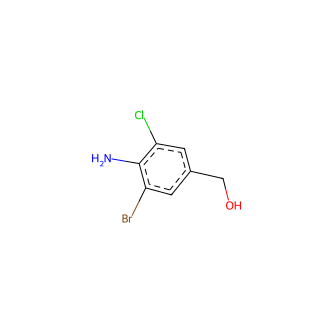 Nc1c(Cl)cc(CO)cc1Br